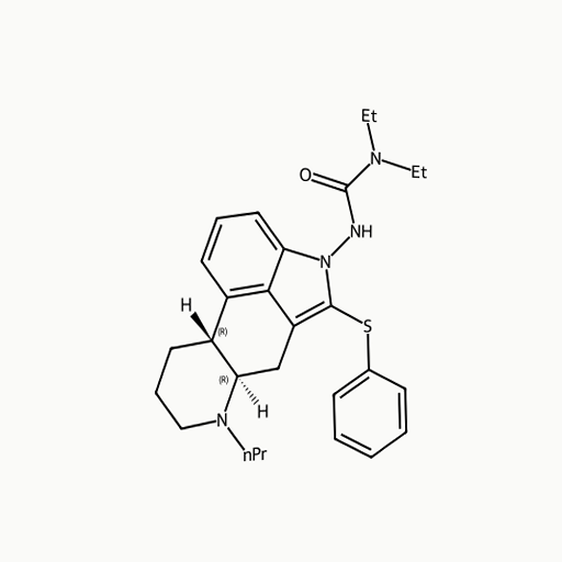 CCCN1CCC[C@@H]2c3cccc4c3c(c(Sc3ccccc3)n4NC(=O)N(CC)CC)C[C@H]21